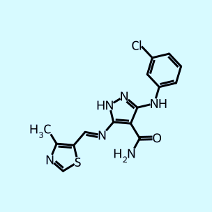 Cc1ncsc1C=Nc1[nH]nc(Nc2cccc(Cl)c2)c1C(N)=O